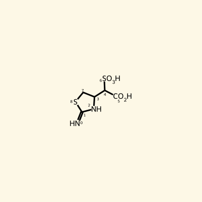 N=C1NC(C(C(=O)O)S(=O)(=O)O)CS1